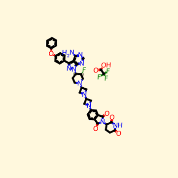 Nc1ncnc2c1c(-c1ccc(Oc3ccccc3)cc1)nn2[C@@H]1CCN(C2CN(C3CN(c4ccc5c(c4)C(=O)N(C4CCC(=O)NC4=O)C5=O)C3)C2)C[C@H]1F.O=C(O)C(F)(F)F